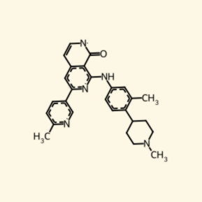 Cc1ccc(-c2cc3c(c(Nc4ccc(C5CCN(C)CC5)c(C)c4)n2)C(=O)[N]C=C3)cn1